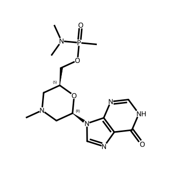 CN1C[C@@H](COP(C)(=O)N(C)C)O[C@@H](n2cnc3c(=O)[nH]cnc32)C1